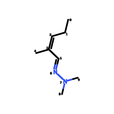 CCC=C(C)C=NN(C)C